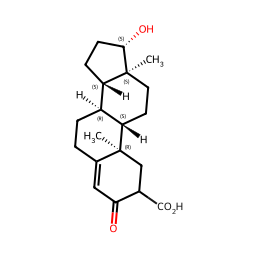 C[C@]12CC[C@H]3[C@@H](CCC4=CC(=O)C(C(=O)O)C[C@@]43C)[C@@H]1CC[C@@H]2O